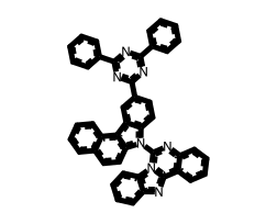 c1ccc(-c2nc(-c3ccccc3)nc(-c3ccc4c(c3)c3c5ccccc5ccc3n4-c3nc4ccccc4c4nc5ccccc5n34)n2)cc1